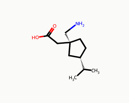 CC(C)[C@H]1CC[C@](CN)(CC(=O)O)C1